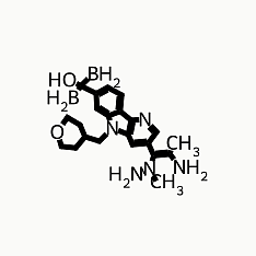 BC(B)(O)c1ccc2c3ncc(/C(=C(\C)N)N(C)N)cc3n(CC3CCOCC3)c2c1